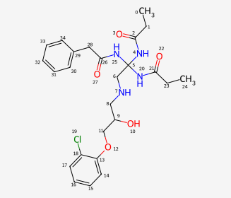 CCC(=O)NC(CNCC(O)COc1ccccc1Cl)(NC(=O)CC)NC(=O)Cc1ccccc1